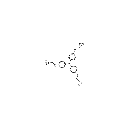 C1=C(OCC2CO2)CCC(C(c2ccc(OCC3CO3)cc2)c2ccc(OCC3CO3)cc2)=C1